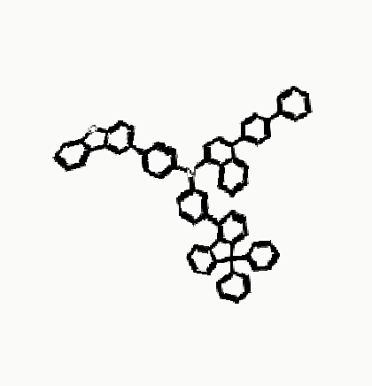 c1ccc(-c2ccc(-c3ccc(N(c4ccc(-c5ccc6oc7ccccc7c6c5)cc4)c4cccc(-c5cccc6c5-c5ccccc5C6(c5ccccc5)c5ccccc5)c4)c4ccccc34)cc2)cc1